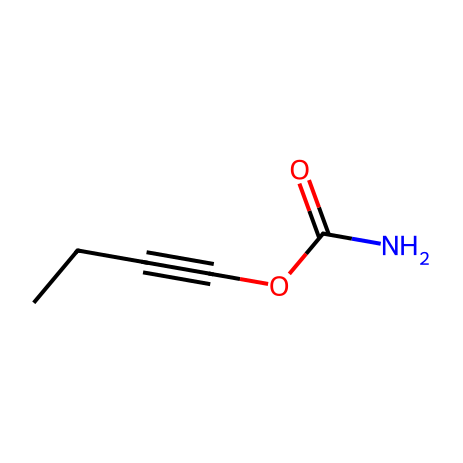 CCC#COC(N)=O